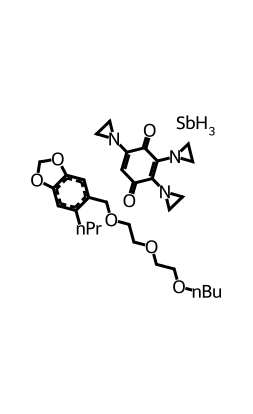 CCCCOCCOCCOCc1cc2c(cc1CCC)OCO2.O=C1C=C(N2CC2)C(=O)C(N2CC2)=C1N1CC1.[SbH3]